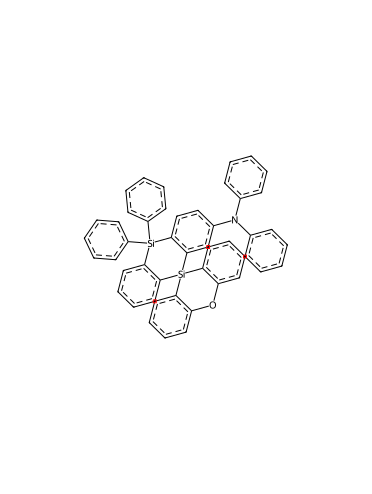 c1ccc(N(c2ccccc2)c2ccc3c(c2)[Si]2(c4ccccc4Oc4ccccc42)c2ccccc2[Si]3(c2ccccc2)c2ccccc2)cc1